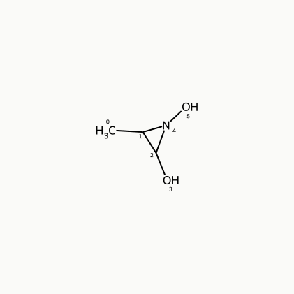 CC1C(O)N1O